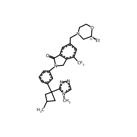 CC[C@H]1CN(Cc2cc3c(c(C(F)(F)F)c2)CN(c2cccc(C4(c5nncn5C)CC(C)C4)c2)C3=O)CCO1